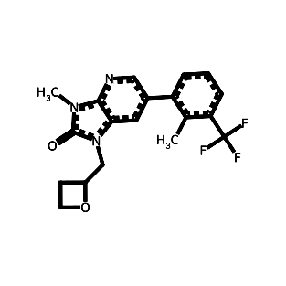 Cc1c(-c2cnc3c(c2)n(CC2CCO2)c(=O)n3C)cccc1C(F)(F)F